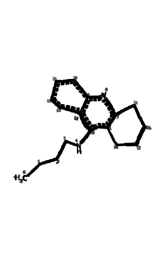 [CH2]CCCNc1c2c(nc3ccccc13)CCCC2